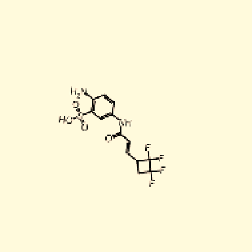 Nc1ccc(NC(=O)C=CC2CC(F)(F)C2(F)F)cc1S(=O)(=O)O